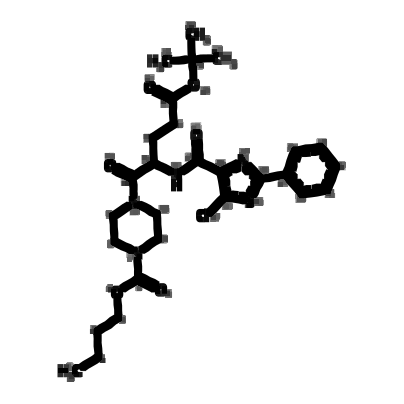 CCCCOC(=O)N1CCN(C(=O)C(CCC(=O)OC(C)(C)C)NC(=O)c2nc(-c3ccccc3)sc2Cl)CC1